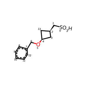 O=S(=O)(O)C[C@H]1C[C@@H](OCc2ccccc2)C1